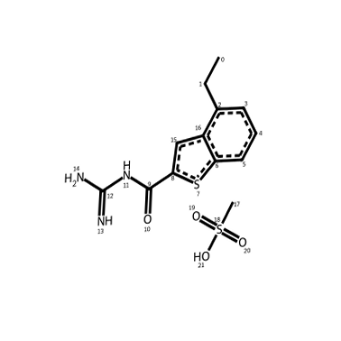 CCc1cccc2sc(C(=O)NC(=N)N)cc12.CS(=O)(=O)O